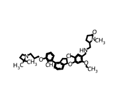 CCOc1cc(O[C@H]2CCc3c(-c4cccc(OCCCN5CCC5(C)C)c4C)cccc32)c(Cl)cc1CNCC1CCC(=O)N1C